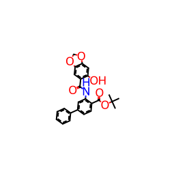 CC(C)(C)OC(=O)c1ccc(-c2ccccc2)cc1NC(=O)c1cc2c(cc1O)OCO2